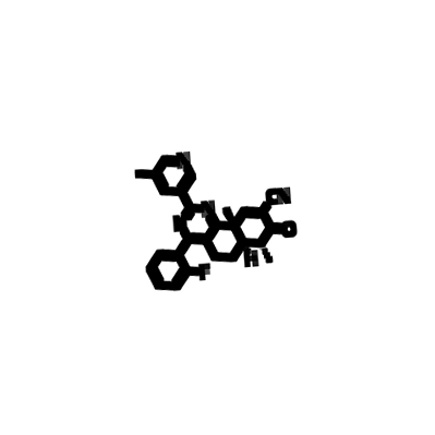 Cc1cncc(-c2nc(-c3ccccc3F)c3c(n2)[C@]2(C)C=C(C#N)C(=O)[C@H](C)[C@H]2CC3)c1